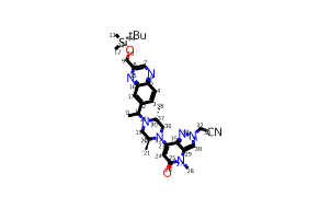 CC(c1ccc2ncc(CO[Si](C)(C)C(C)(C)C)nc2c1)N1C[C@H](C)N(c2cc(=O)n(C)c3cn(CC#N)nc23)C[C@H]1C